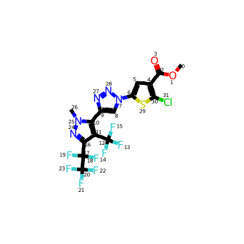 COC(=O)c1cc(-n2cc(-c3c(C(F)(F)F)c(C(F)(F)C(F)(F)F)nn3C)nn2)sc1Cl